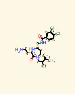 C=C(C)C(CC)CN1CC[C@@H](CNC(=O)c2ccc(Cl)c(Cl)c2)N[C@@H](CCN)C1=O